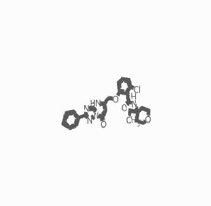 CCC1(NC(=O)c2c(Cl)cccc2OCc2cc(=O)n3nc(-c4ccccc4)nc3[nH]2)CCOCC1